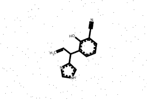 C=CC(c1c[nH]cn1)c1cccc(C#N)c1O